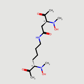 CC(=O)[C@H](CCCCNC(=O)C[C@@H](C(C)=O)N(C)O)N(C)O